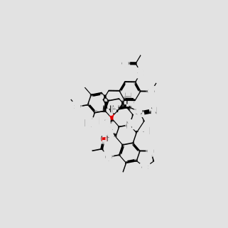 COc1cc2c(cc1OC(C)=O)CCN[C@]21CS[C@@H]2c3c(OC(C)=O)c(C)c4c(c3[C@H](COC1=O)N1C2[C@@H]2N[C@H](Cc3cc(C)c(OC)c(O)c32)[C@@H]1C#N)OCO4